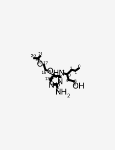 CCCC(CCO)Nc1nc(N)ncc1OCCOC(C)C